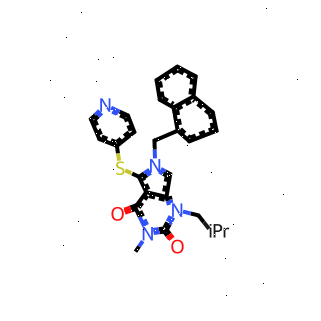 CC(C)Cn1c(=O)n(C)c(=O)c2c(Sc3ccncc3)n(Cc3cccc4ccccc34)cc21